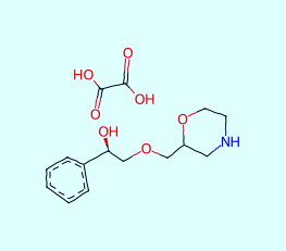 O=C(O)C(=O)O.O[C@@H](COCC1CNCCO1)c1ccccc1